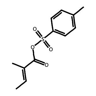 C/C=C(\C)C(=O)OS(=O)(=O)c1ccc(C)cc1